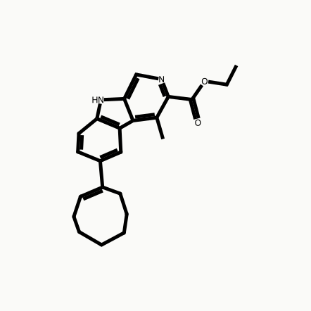 CCOC(=O)c1ncc2[nH]c3ccc(/C4=C/CCCCCC4)cc3c2c1C